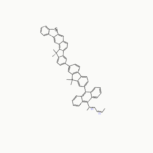 C/C=C\C=C(/C)c1c2ccccc2c(-c2ccc3c(c2)C(C)(C)c2cc(-c4ccc5c(c4)-c4ccc6cc7sc8ccccc8c7cc6c4C5(C)C)ccc2-3)c2ccccc12